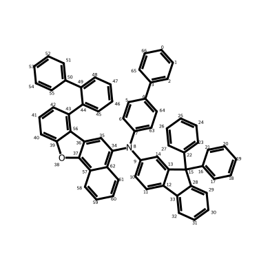 c1ccc(-c2ccc(N(c3ccc4c(c3)C(c3ccccc3)(c3ccccc3)c3ccccc3-4)c3cc4c(oc5cccc(-c6ccccc6-c6ccccc6)c54)c4ccccc34)cc2)cc1